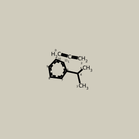 C=C=C.CC(C)c1ccccc1